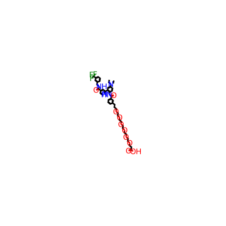 CCN(CC)c1ccc(NC(=O)c2cccc(CCCOCCOCCOCCOCCOCCOCCC(=O)O)c2)c(-c2cc(C(=O)NCc3cccc(C(F)(F)F)c3)ccn2)c1